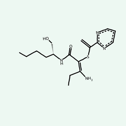 C=C(S/C(C(=O)N[C@@H](CO)CCCC)=C(\N)CC)c1ncccn1